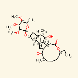 CC[C@H]1CCCC[C@@H](C)C(=O)C2=C[C@H]3[C@@H]4C[C@H](O[C@@H]5OC(C)[C@H](OC)C(OC)C5OC)C[C@H]4[C@H](C)[C@@H](O)[C@H]3[C@@H]2CC(=O)O1